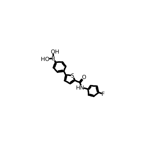 O=C(Nc1ccc(F)cc1)c1ccc(-c2ccc(B(O)O)cc2)s1